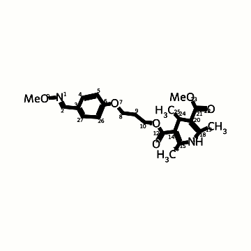 CON=Cc1ccc(OCCCOC(=O)C2=C(C)NC(C)=C(C(=O)OC)C2C)cc1